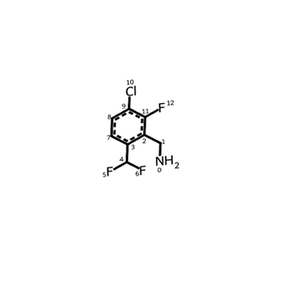 NCc1c(C(F)F)ccc(Cl)c1F